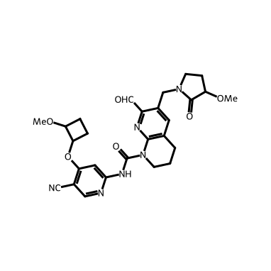 COC1CCN(Cc2cc3c(nc2C=O)N(C(=O)Nc2cc(OC4CCC4OC)c(C#N)cn2)CCC3)C1=O